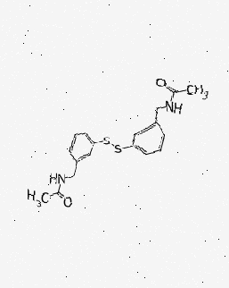 CC(=O)NCc1cccc(SSc2cccc(CNC(C)=O)c2)c1